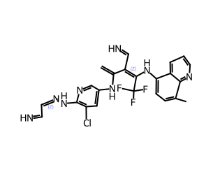 C=C(Nc1cnc(N/N=C\C=N)c(Cl)c1)/C(C=N)=C(/Nc1ccc(C)c2ncccc12)C(F)(F)F